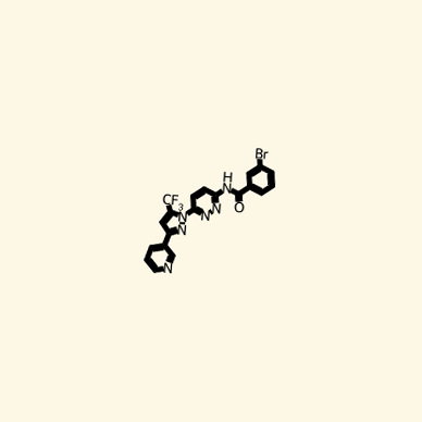 O=C(Nc1ccc(-n2nc(-c3cccnc3)cc2C(F)(F)F)nn1)c1cccc(Br)c1